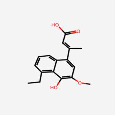 CCc1cccc2c(C(C)=CC(=O)O)cc(OC)c(O)c12